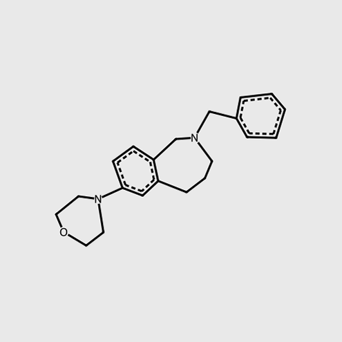 c1ccc(CN2CCCc3cc(N4CCOCC4)ccc3C2)cc1